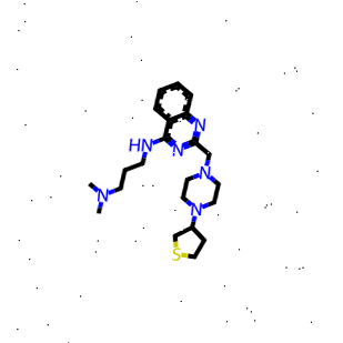 CN(C)CCCNc1nc(CN2CCN(C3CCSC3)CC2)nc2ccccc12